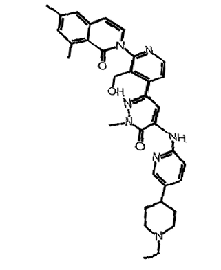 CCN1CCC(c2ccc(Nc3cc(-c4ccnc(-n5ccc6cc(C)cc(C)c6c5=O)c4CO)nn(C)c3=O)nc2)CC1